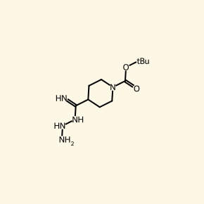 CC(C)(C)OC(=O)N1CCC(C(=N)NNN)CC1